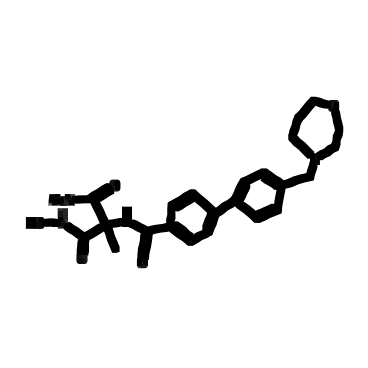 CNC(=O)C(C)(NC(=O)c1ccc(-c2ccc(CN3CCCOCC3)cc2)cc1)C(=O)NO